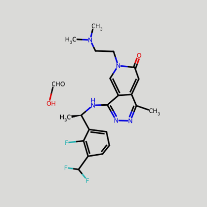 Cc1nnc(N[C@H](C)c2cccc(C(F)F)c2F)c2cn(CCN(C)C)c(=O)cc12.O=CO